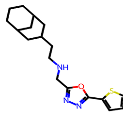 c1csc(-c2nnc(CNCCC3CC4CCCC(C4)C3)o2)c1